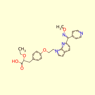 CCOC(Cc1ccc(OCCn2ccc3ccc(C(=NOC)c4ccncc4)nc32)cc1)C(=O)O